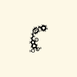 COc1cc2c(cc1OC)C(=O)C(CCCN1CCN(Cc3ccccc3)CC1)C2